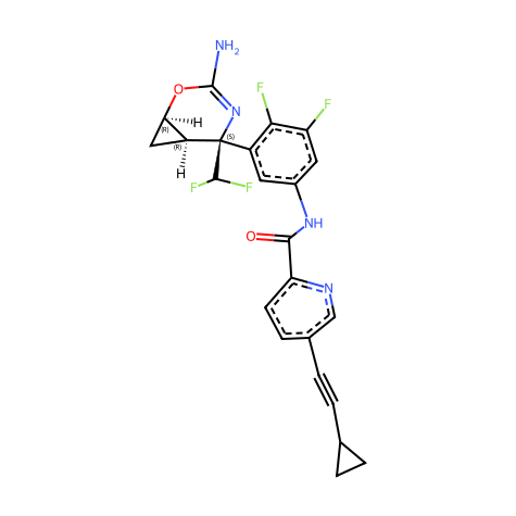 NC1=N[C@@](c2cc(NC(=O)c3ccc(C#CC4CC4)cn3)cc(F)c2F)(C(F)F)[C@H]2C[C@H]2O1